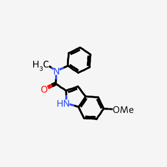 COc1ccc2[nH]c(C(=O)N(C)c3ccccc3)cc2c1